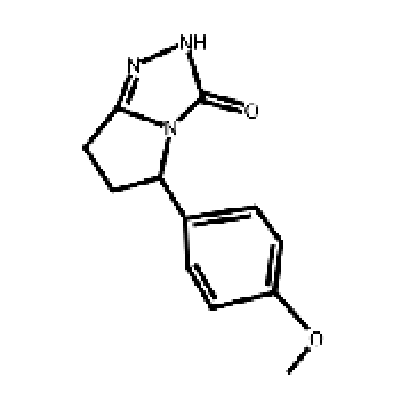 COc1ccc(C2CCc3n[nH]c(=O)n32)cc1